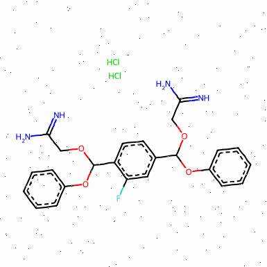 Cl.Cl.N=C(N)COC(Oc1ccccc1)c1ccc(C(OCC(=N)N)Oc2ccccc2)c(F)c1